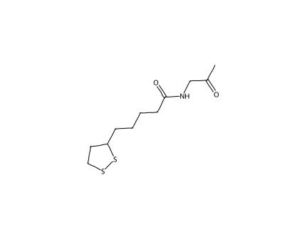 CC(=O)CNC(=O)CCCCC1CCSS1